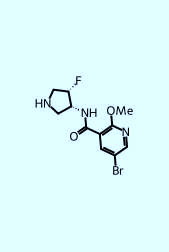 COc1ncc(Br)cc1C(=O)N[C@@H]1CNC[C@@H]1F